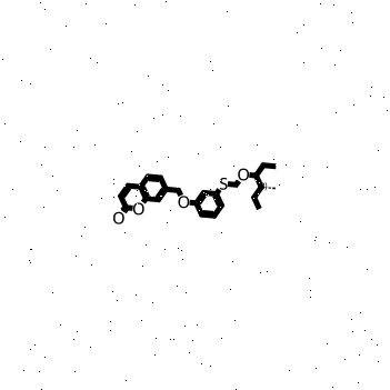 CCC(OCSc1cccc(OCc2ccc3ccc(=O)oc3c2)c1)[C@H](C)CC